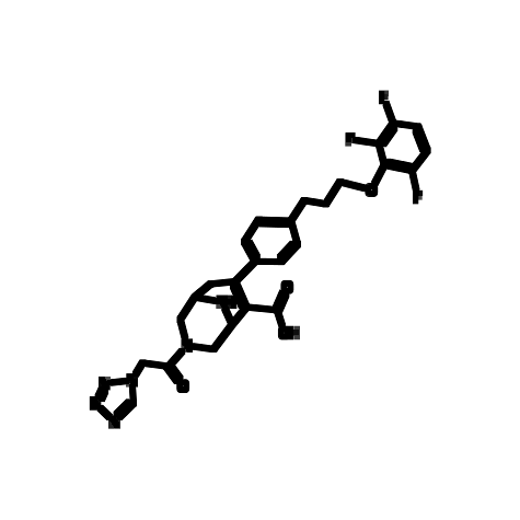 O=C(O)C1=C(c2ccc(CCCOc3c(F)ccc(F)c3F)cc2)CC2CN(C(=O)Cn3cnnn3)CC1N2